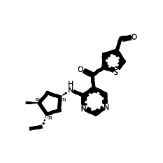 CC[C@H]1C[C@@H](Nc2ncncc2C(=O)c2cc(C=O)cs2)C[C@@H]1C